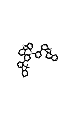 CC1(C)c2ccccc2-c2cccc(-c3ccc(N(c4cccc(-c5cccc6oc7c8ccccc8ccc7c56)c4)c4cccc5oc6ccccc6c45)cc3)c21